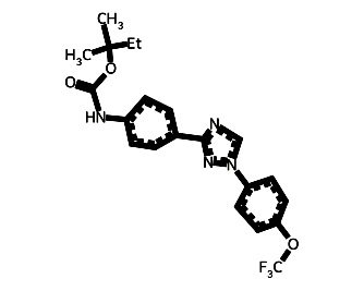 CCC(C)(C)OC(=O)Nc1ccc(-c2ncn(-c3ccc(OC(F)(F)F)cc3)n2)cc1